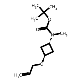 C=CCO[C@H]1C[C@H](N(C)C(=O)OC(C)(C)C)C1